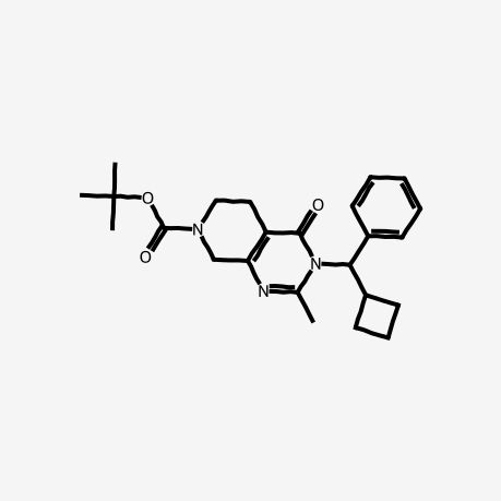 Cc1nc2c(c(=O)n1C(c1ccccc1)C1CCC1)CCN(C(=O)OC(C)(C)C)C2